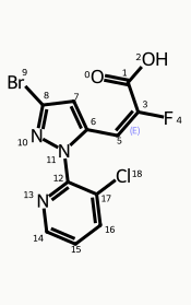 O=C(O)/C(F)=C\c1cc(Br)nn1-c1ncccc1Cl